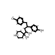 Oc1ccc(C(Cc2ccc(Cl)cc2)CC(O)C2(O)CCNCC2)cc1